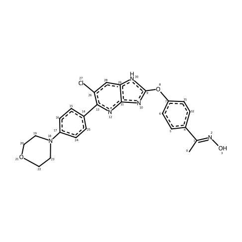 C/C(=N\O)c1ccc(Oc2nc3nc(-c4ccc(N5CCOCC5)cc4)c(Cl)cc3[nH]2)cc1